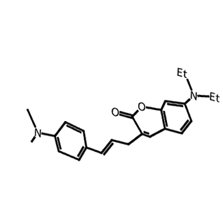 CCN(CC)c1ccc2cc(CC=Cc3ccc(N(C)C)cc3)c(=O)oc2c1